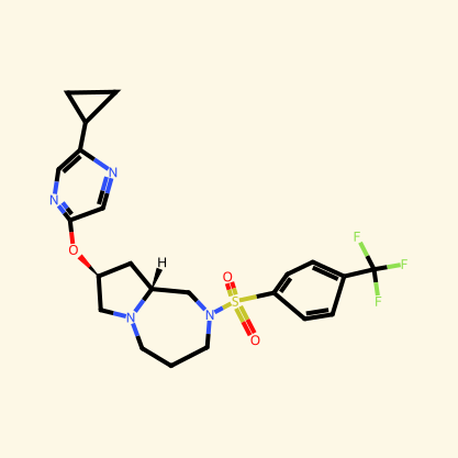 O=S(=O)(c1ccc(C(F)(F)F)cc1)N1CCCN2C[C@@H](Oc3cnc(C4CC4)cn3)C[C@@H]2C1